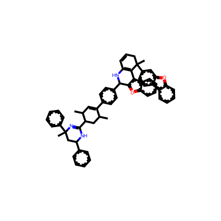 CC1CC(C2=NC(C)(c3ccccc3)CC(c3ccccc3)N2)C(C)C=C1c1ccc(C2NC3=C(c4c2oc2ccccc42)C(C)(c2ccc4c(c2)oc2ccccc24)CC=C3)cc1